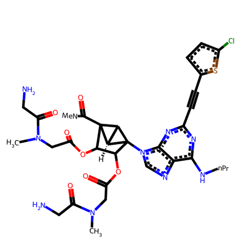 CCCNc1nc(C#Cc2ccc(Cl)s2)nc2c1ncn2C12C(OC(=O)CN(C)C(=O)CN)C(OC(=O)CN(C)C(=O)CN)C3(C(=O)NC)C1[C@H]32